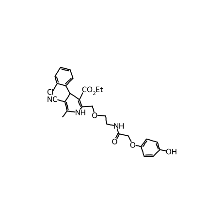 CCOC(=O)C1=C(COCCNC(=O)COc2ccc(O)cc2)NC(C)=C(C#N)C1c1ccccc1Cl